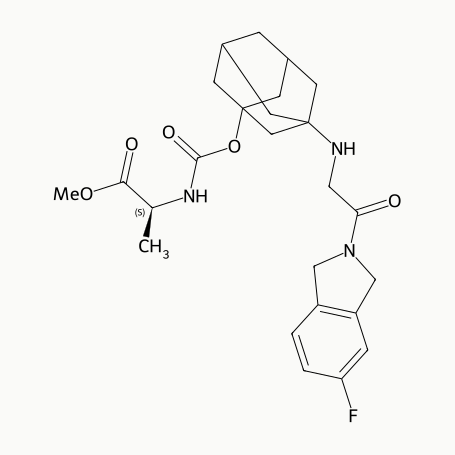 COC(=O)[C@H](C)NC(=O)OC12CC3CC(CC(NCC(=O)N4Cc5ccc(F)cc5C4)(C3)C1)C2